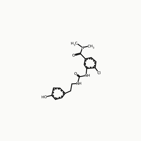 CN(C)C(=O)c1ccc(Cl)c(NC(=O)NCCc2ccc(O)cc2)c1